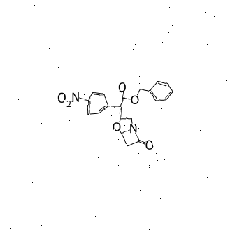 O=C(OCc1ccccc1)C(=C1CN2C(=O)CC2O1)c1ccc([N+](=O)[O-])cc1